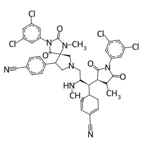 CNC(CN1CC(c2ccc(C#N)cc2)[C@]2(C1)C(=O)N(c1cc(Cl)cc(Cl)c1)C(=O)N2C)[C@H](C1C=CC(C#N)=CC1)[C@H]1C(=O)N(c2cc(Cl)cc(Cl)c2)C(=O)C1C